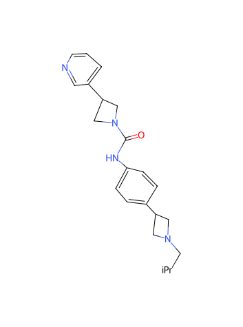 CC(C)CN1CC(c2ccc(NC(=O)N3CC(c4cccnc4)C3)cc2)C1